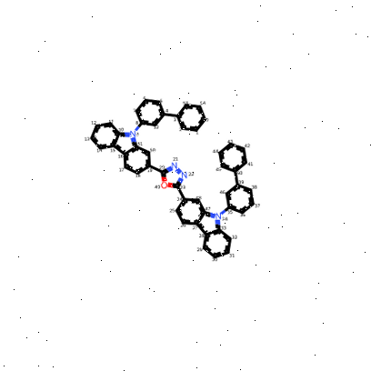 c1ccc(-c2cccc(-n3c4ccccc4c4ccc(-c5nnc(-c6ccc7c8ccccc8n(-c8cccc(-c9ccccc9)c8)c7c6)o5)cc43)c2)cc1